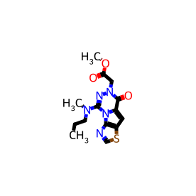 CCCN(C)c1nn(CC(=O)OC)c(=O)c2cc3scnc3n12